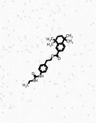 CCNC(=O)Nc1ccc(CCOC(=O)c2ccc3c(c2)C(C)(C)CCC3(C)C)cc1